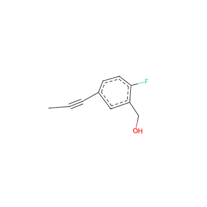 CC#Cc1ccc(F)c(CO)c1